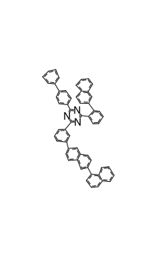 c1ccc(-c2ccc(-c3nc(-c4cccc(-c5ccc6cc(-c7cccc8ccccc78)ccc6c5)c4)nc(-c4ccccc4-c4ccc5ccccc5c4)n3)cc2)cc1